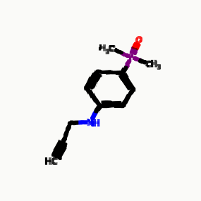 C#CCNc1ccc(P(C)(C)=O)cc1